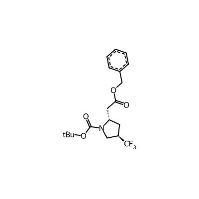 CC(C)(C)OC(=O)N1C[C@H](C(F)(F)F)C[C@H]1CC(=O)OCc1ccccc1